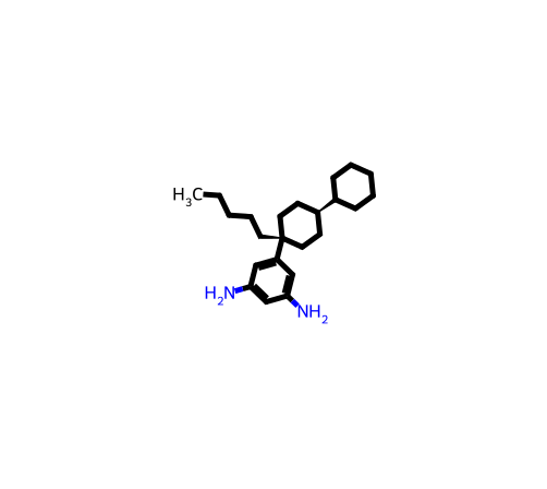 CCCCC[C@]1(c2cc(N)cc(N)c2)CC[C@H](C2CCCCC2)CC1